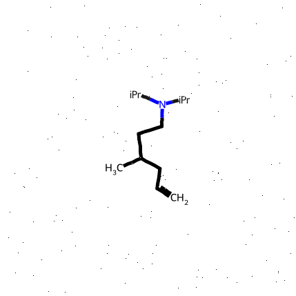 C=CCC(C)CCN(C(C)C)C(C)C